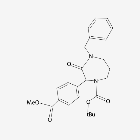 COC(=O)c1ccc(C2C(=O)N(Cc3ccccc3)CCCN2C(=O)OC(C)(C)C)cc1